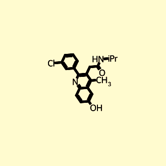 Cc1c(CC(=O)NC(C)C)c(-c2cccc(Cl)c2)nc2ccc(O)cc12